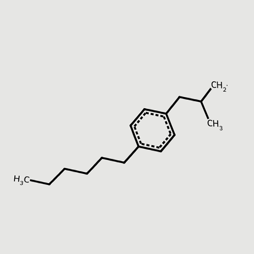 [CH2]C(C)Cc1ccc(CCCCCC)cc1